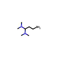 BCCC(N(C)C)N(C)C